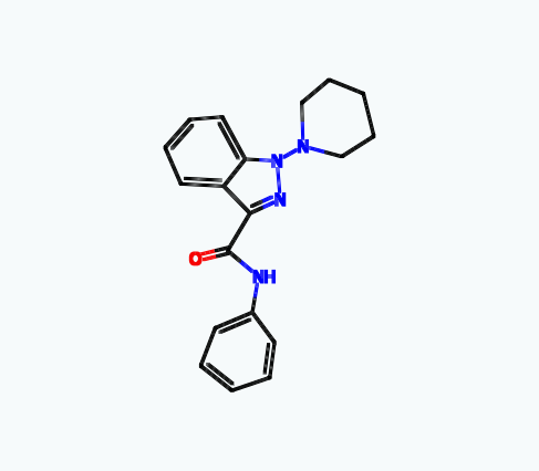 O=C(Nc1ccccc1)c1nn(N2CCCCC2)c2ccccc12